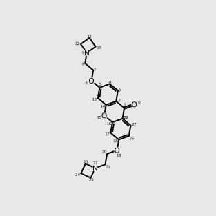 O=c1c2ccc(OCCN3CCC3)cc2oc2cc(OCCN3CCC3)ccc12